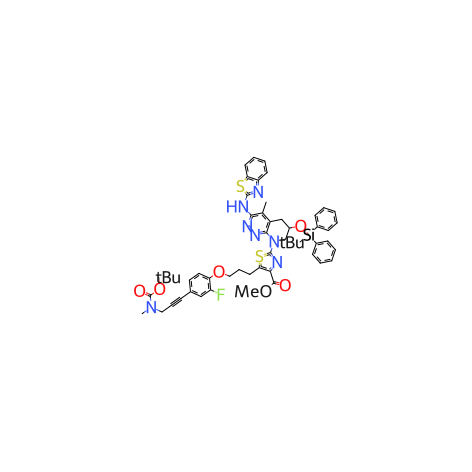 COC(=O)c1nc(N2CC(O[Si](c3ccccc3)(c3ccccc3)C(C)(C)C)Cc3c2nnc(Nc2nc4ccccc4s2)c3C)sc1CCCOc1ccc(C#CCN(C)C(=O)OC(C)(C)C)cc1F